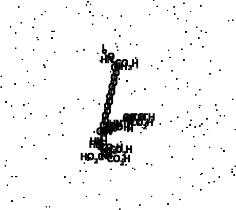 O=C(O)CC[C@H](NC(=O)N[C@@H](CCCCNC(=O)Nc1cccc(-c2cn(CC(=O)N[C@@H](CCCCNC(=S)Nc3ccc(CC4CN(CC(=O)O)CCN(CC(=O)O)CCN(CC(=O)O)CCN4CC(=O)O)cc3)C(=O)NCCOCCOCCOCCOCCOCCOCCOCCOCCOCCOCCOCCOCCC(=O)N[C@@H](CCCCNC(=O)CCCc3ccc(I)cc3)C(=O)O)nn2)c1)C(=O)O)C(=O)O